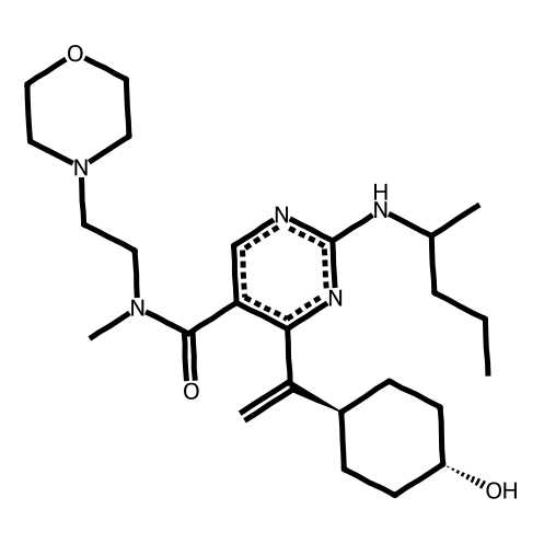 C=C(c1nc(NC(C)CCC)ncc1C(=O)N(C)CCN1CCOCC1)[C@H]1CC[C@H](O)CC1